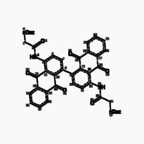 CCCCCCCCCCCC(=O)Nc1ccc(-c2ccc(NC(=O)CCCCCCCCCCC)c3c2C(=O)c2ccccc2C3=O)c2c1C(=O)c1ccccc1C2=O